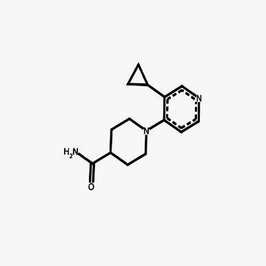 NC(=O)C1CCN(c2ccncc2C2CC2)CC1